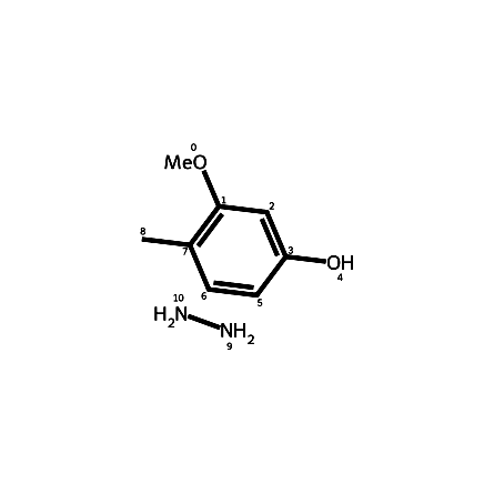 COc1cc(O)ccc1C.NN